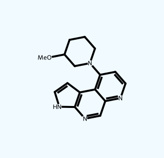 COC1CCCN(c2ccnc3cnc4[nH]ccc4c23)C1